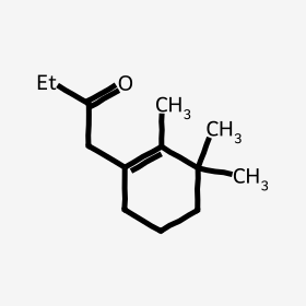 CCC(=O)CC1=C(C)C(C)(C)CCC1